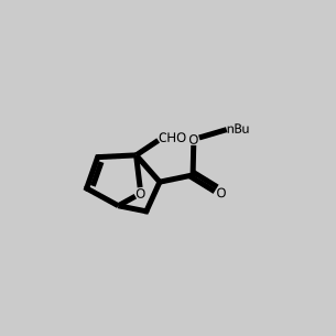 CCCCOC(=O)C1CC2C=CC1(C=O)O2